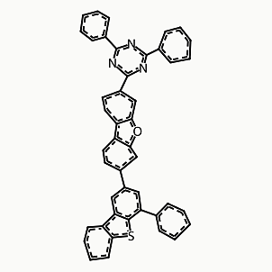 c1ccc(-c2nc(-c3ccccc3)nc(-c3ccc4c(c3)oc3cc(-c5cc(-c6ccccc6)c6sc7ccccc7c6c5)ccc34)n2)cc1